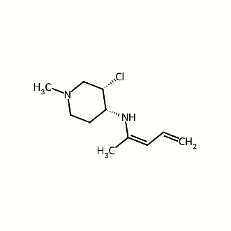 C=C/C=C(/C)N[C@@H]1CCN(C)C[C@@H]1Cl